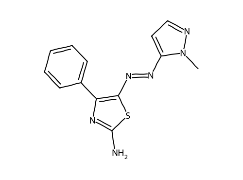 Cn1nccc1/N=N/c1sc(N)nc1-c1ccccc1